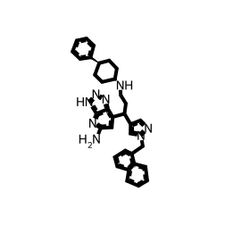 Nc1cc(C(CCN[C@H]2CC[C@H](c3ccccc3)CC2)c2cnn(Cc3cccc4ccccc34)c2)c2nn[nH]c2n1